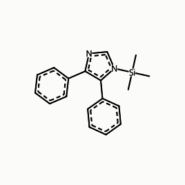 C[Si](C)(C)n1cnc(-c2ccccc2)c1-c1ccccc1